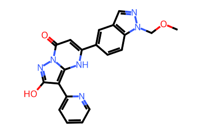 COCn1ncc2cc(-c3cc(=O)n4nc(O)c(-c5ccccn5)c4[nH]3)ccc21